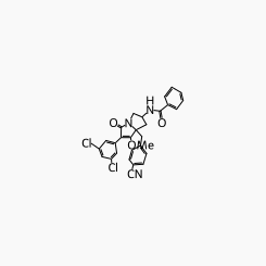 COC1=C(c2cc(Cl)cc(Cl)c2)C(=O)N2CC(NC(=O)c3ccccc3)CC12Cc1ccc(C#N)cc1